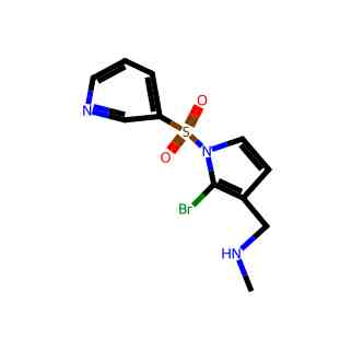 CNCc1ccn(S(=O)(=O)c2cccnc2)c1Br